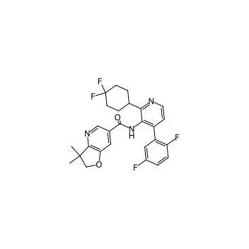 CC1(C)COc2cc(C(=O)Nc3c(-c4cc(F)ccc4F)ccnc3C3CCC(F)(F)CC3)cnc21